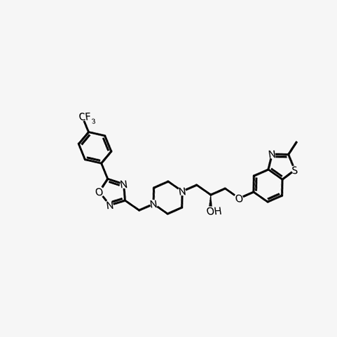 Cc1nc2cc(OC[C@@H](O)CN3CCN(Cc4noc(-c5ccc(C(F)(F)F)cc5)n4)CC3)ccc2s1